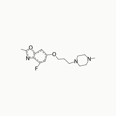 Cc1nc2c(F)cc(OCCCN3CCN(C)CC3)cc2o1